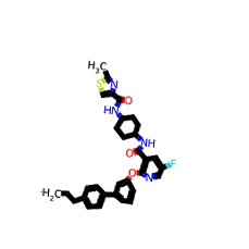 [CH2]CCc1ccc(-c2cccc(Oc3ncc(F)cc3C(=O)NC3CCC(NC(=O)c4csc(C)n4)CC3)c2)cc1